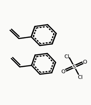 C=Cc1ccccc1.C=Cc1ccccc1.O=S(=O)(Cl)Cl